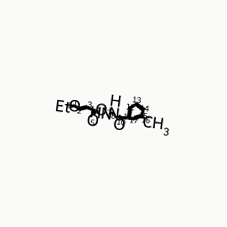 CCOC=CC(=O)ONNC(=O)c1cccc(C)c1